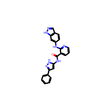 O=C(Nc1cc(-c2ccccc2)n[nH]1)c1cccnc1Nc1ccc2cn[nH]c2c1